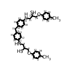 Cc1ccc(OCC(S)CNc2ccc(Cc3ccc(NCC(S)COc4ccc(C)cc4)cc3)cc2)cc1